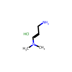 CN(C)C=CCN.Cl